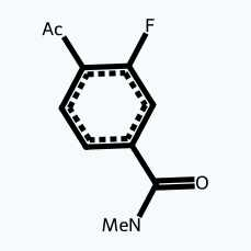 CNC(=O)c1ccc(C(C)=O)c(F)c1